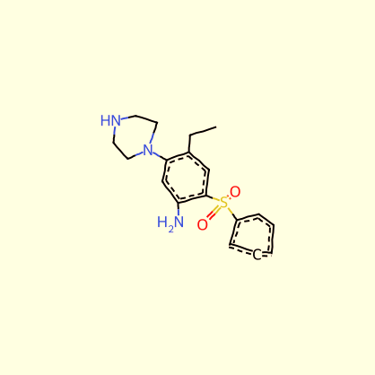 CCc1cc(S(=O)(=O)c2ccccc2)c(N)cc1N1CCNCC1